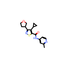 Cc1cc(NC(=O)c2snc(C3CCOC3)c2C2CC2)ccn1